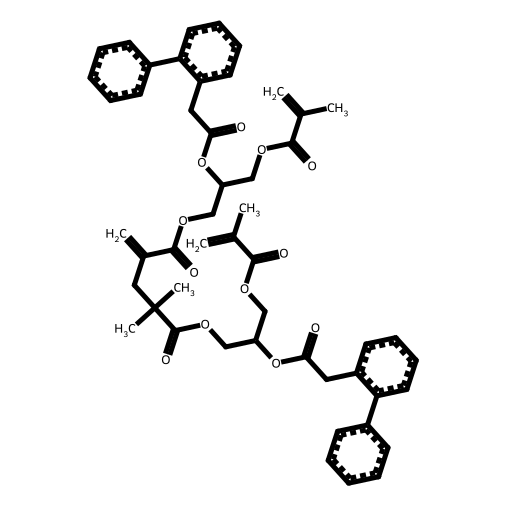 C=C(C)C(=O)OCC(COC(=O)C(=C)CC(C)(C)C(=O)OCC(COC(=O)C(=C)C)OC(=O)Cc1ccccc1-c1ccccc1)OC(=O)Cc1ccccc1-c1ccccc1